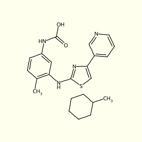 CC1CCCCC1.Cc1ccc(NC(=O)O)cc1Nc1nc(-c2cccnc2)cs1